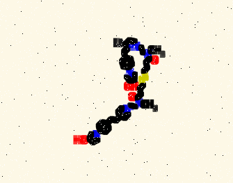 CCC(/C=C\NCCN(C)C(=O)CCCSSCCCC(=O)N(C)CC[n+]1ccc(/C=C/c2ccc(N3CCC(O)C3)cc2)cc1)/C=C/c1ccc(N2CCC(O)C2)cc1